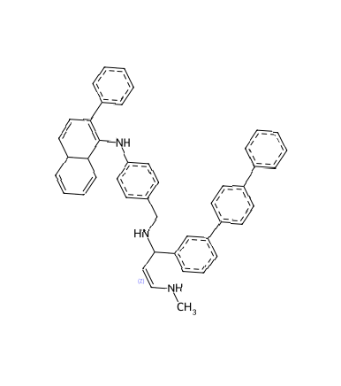 CN/C=C\C(NCc1ccc(NC2=C(c3ccccc3)C=CC3C=CC=CC23)cc1)c1cccc(-c2ccc(-c3ccccc3)cc2)c1